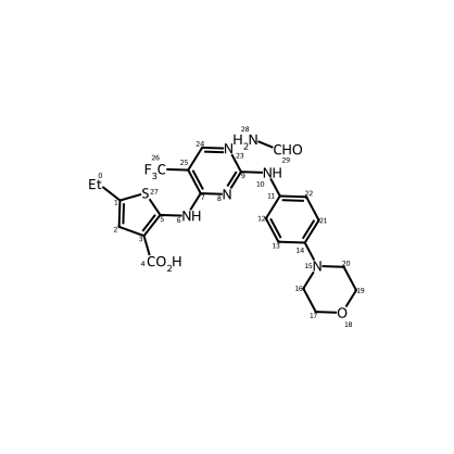 CCc1cc(C(=O)O)c(Nc2nc(Nc3ccc(N4CCOCC4)cc3)ncc2C(F)(F)F)s1.NC=O